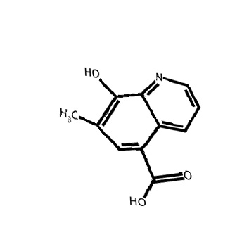 Cc1cc(C(=O)O)c2cccnc2c1O